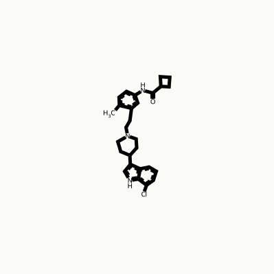 Cc1ccc(NC(=O)C2CCC2)cc1CCN1CCC(c2c[nH]c3c(Cl)cccc23)CC1